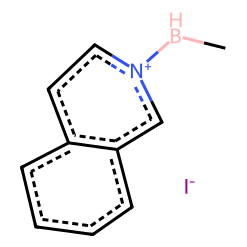 CB[n+]1ccc2ccccc2c1.[I-]